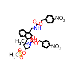 C[C@@]1(c2c(O)cc(CNC(=O)OCc3ccc([N+](=O)[O-])cc3)c3ccccc23)C[C@@H](OS(C)(=O)=O)CN1C(=O)OCc1ccc([N+](=O)[O-])cc1